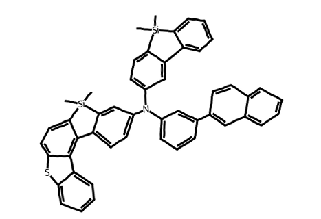 C[Si]1(C)c2ccccc2-c2cc(N(c3cccc(-c4ccc5ccccc5c4)c3)c3ccc4c(c3)[Si](C)(C)c3ccc5sc6ccccc6c5c3-4)ccc21